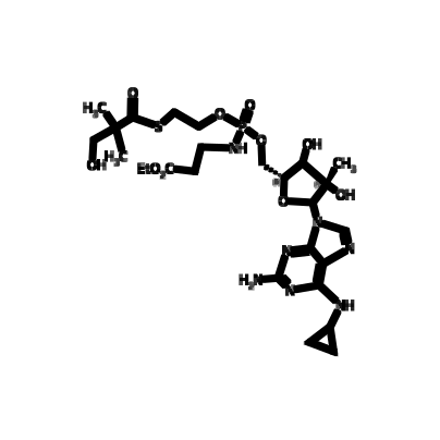 CCOC(=O)CCNP(=O)(OCCSC(=O)C(C)(C)CO)OC[C@H]1OC(n2cnc3c(NC4CC4)nc(N)nc32)[C@@](C)(O)C1O